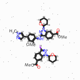 COC(=O)c1ccc2c(I)nn(C3CCCCO3)c2c1.COC(=O)c1ccc2c(Nc3ccc(-c4cnn(C)c4)cc3OC)nn(C3CCCCO3)c2c1